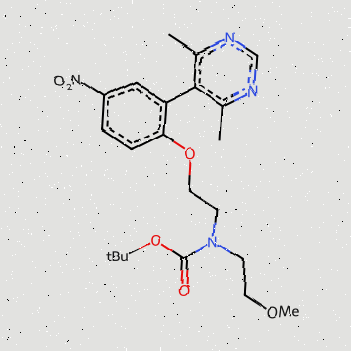 COCCN(CCOc1ccc([N+](=O)[O-])cc1-c1c(C)ncnc1C)C(=O)OC(C)(C)C